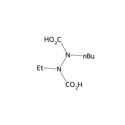 CCCCN(C(=O)O)N(CC)C(=O)O